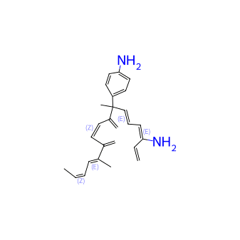 C=C/C(N)=C\C=C\C(C)(C(=C)/C=C\C(=C)/C(C)=C/C=C\C)c1ccc(N)cc1